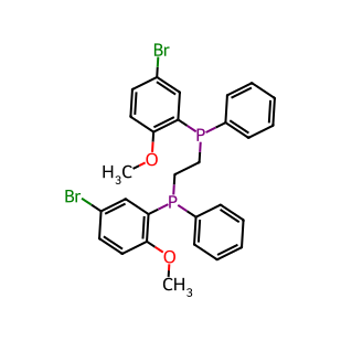 COc1ccc(Br)cc1P(CCP(c1ccccc1)c1cc(Br)ccc1OC)c1ccccc1